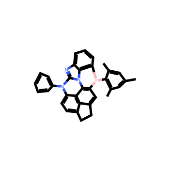 Cc1cc(C)c(B2c3cccc4nc5n(-c6ccccc6)c6ccc7c8c(cc2c(c86)n5c34)CC7)c(C)c1